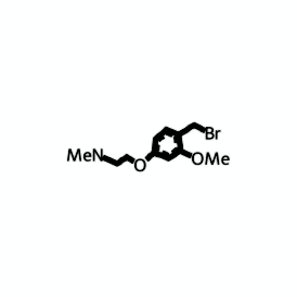 CNCCOc1ccc(CBr)c(OC)c1